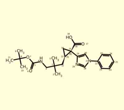 CC(C)(CNC(=O)OC(C)(C)C)C[C@H]1C[C@]1(C(=O)O)c1cn(-c2ccccc2)cn1